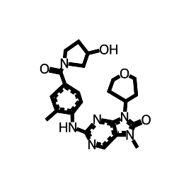 Cc1cc(C(=O)N2CCC(O)C2)ccc1Nc1ncc2c(n1)n(C1CCOCC1)c(=O)n2C